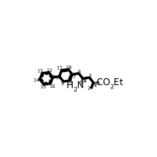 CCOC(=O)[C@H](C)C[C@H](N)CC1=CCC(c2ccccc2)C=C1